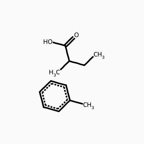 CCC(C)C(=O)O.Cc1ccccc1